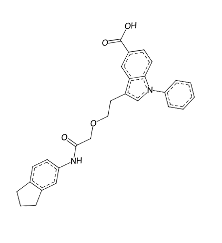 O=C(COCCc1cn(-c2ccccc2)c2ccc(C(=O)O)cc12)Nc1ccc2c(c1)CCC2